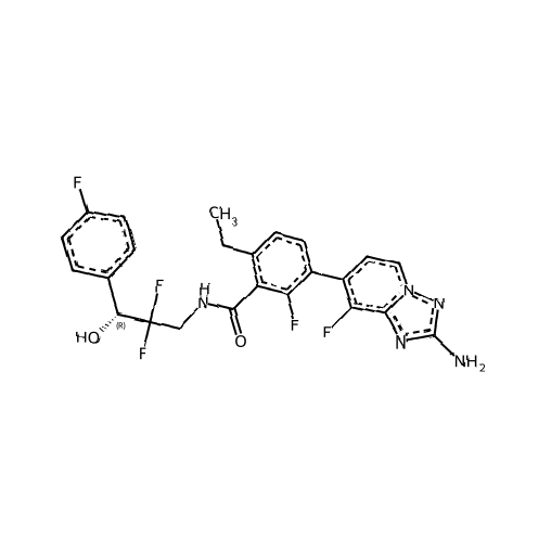 CCc1ccc(-c2ccn3nc(N)nc3c2F)c(F)c1C(=O)NCC(F)(F)[C@H](O)c1ccc(F)cc1